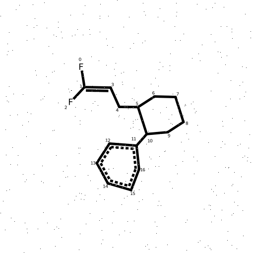 FC(F)=CCC1CCCCC1c1ccccc1